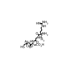 CC(=O)[C@@](C=O)(CS)[N]C(=O)[C@H](CC(=O)O)NC(=O)CNC(=O)[C@@](C)(N)CCCNC(=N)N